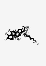 CCCCCC(=O)O[C@@]1(C(=O)CO)[C@@H](C)C[C@H]2[C@@H]3C[C@H](F)C4=C(F)C(=O)C=C[C@]4(C)[C@H]3[C@@H](O)C[C@@]21C